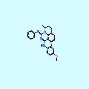 COc1ccc(N/C(=N/C(=N\c2ccccc2)N2CCCCC2C)c2ccccc2C)cc1